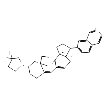 C[C@]12CC=C3C=C4CC[C@H](N5CCC(F)(F)C5)C[C@]45CC[C@]3(O5)[C@@H]1CCC2c1ccc2ccncc2c1